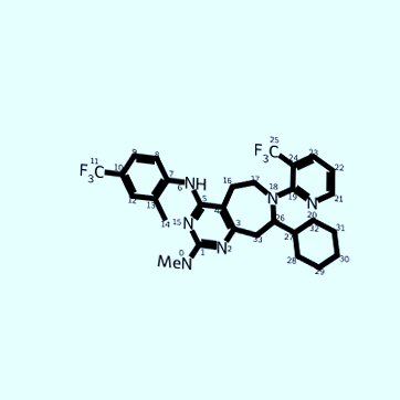 CNc1nc2c(c(Nc3ccc(C(F)(F)F)cc3C)n1)CCN(c1ncccc1C(F)(F)F)C(C1CCCCC1)C2